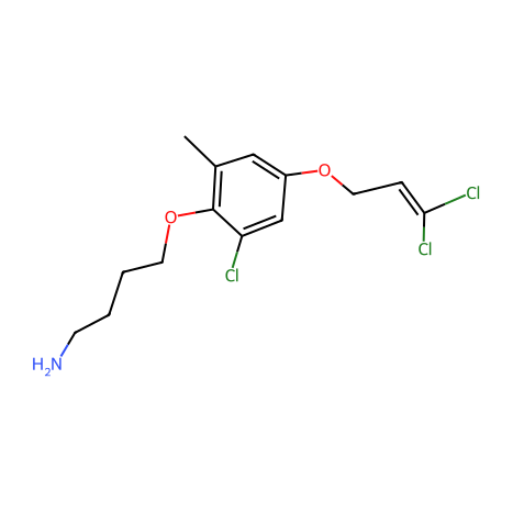 Cc1cc(OCC=C(Cl)Cl)cc(Cl)c1OCCCCN